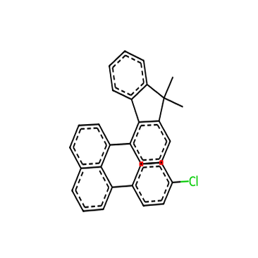 CC1(C)c2ccccc2-c2c(-c3cccc4cccc(-c5ccc(Cl)cc5)c34)cccc21